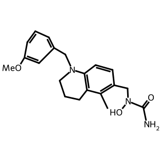 COc1cccc(CN2CCCc3c2ccc(CN(O)C(N)=O)c3C)c1